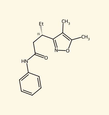 CC[C@@H](CC(=O)Nc1ccccc1)c1noc(C)c1C